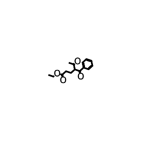 CCOC(=O)CCC(C(C)=O)C(=O)c1ccccc1